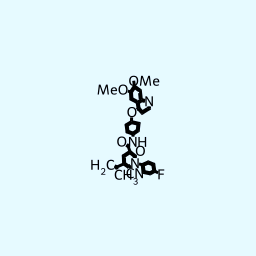 C=C(C)c1cc(C(=O)Nc2ccc(Oc3ccnc4cc(OC)c(OC)cc34)cc2)c(=O)n(-c2ccc(F)cc2)c1C#N